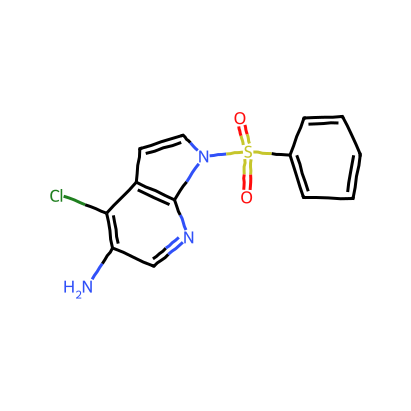 Nc1cnc2c(ccn2S(=O)(=O)c2ccccc2)c1Cl